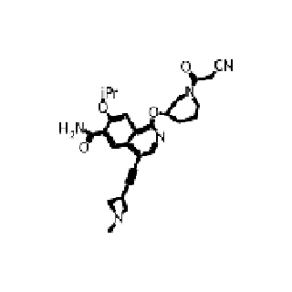 CC(C)Oc1cc2c(O[C@@H]3CCCN(C(=O)CC#N)C3)ncc(C#CC3CN(C)C3)c2cc1C(N)=O